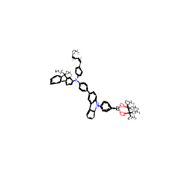 C/C=C\C=C/c1ccc(N(c2ccc(-c3ccc4c(c3)C3=CC=CCC3N4c3ccc(B4OC(C)(C)C(C)(C)O4)cc3)cc2)c2ccc3c(c2)C(C)(C)c2ccccc2-3)cc1